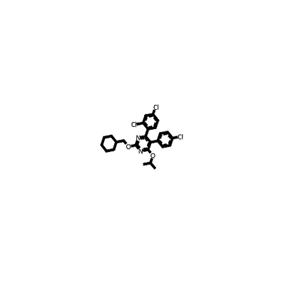 CC(C)Oc1nc(OCC2CCCCC2)nc(-c2ccc(Cl)cc2Cl)c1-c1ccc(Cl)cc1